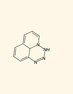 C1=CC2=CC=CN3NN=NC(=C1)C23